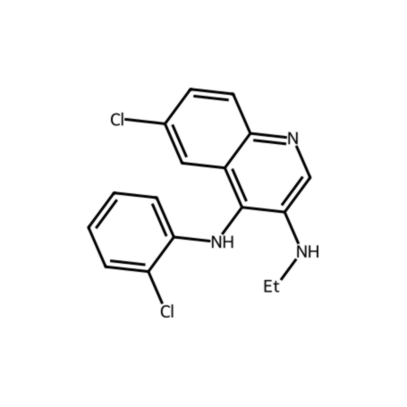 CCNc1cnc2ccc(Cl)cc2c1Nc1ccccc1Cl